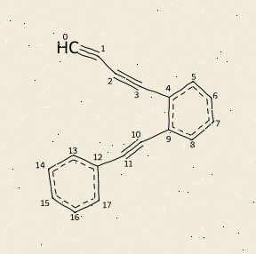 C#CC#Cc1ccccc1C#Cc1ccccc1